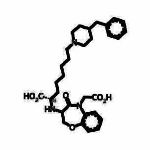 O=C(O)CN1C(=O)C(N[C@@H](CCCCCCN2CCC(Cc3ccccc3)CC2)C(=O)O)COc2ccccc21